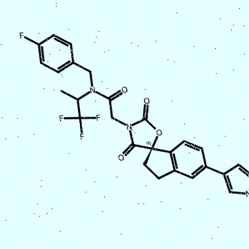 CC(N(Cc1ccc(F)cc1)C(=O)CN1C(=O)O[C@@]2(CCc3cc(-c4cnn(C)c4)ccc32)C1=O)C(F)(F)F